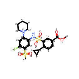 COC(=O)c1ccc(C2CC2)c(S(=O)(=O)Nc2cc(S(C)(=O)=O)c(F)cc2N2CCCCC2)c1